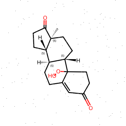 C[C@]12CC[C@H]3[C@@H](CCC4=CC(=O)CCC43OO)[C@@H]1CCC2=O